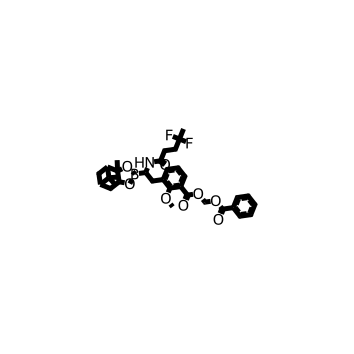 COc1c(CC(NC(=O)CCC(C)(F)F)B2OC3CC4CC(C4(C)C)C3(C)O2)cccc1C(=O)OCOC(=O)c1ccccc1